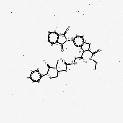 CCOC(=O)C1Cc2ccc(N3C(=O)c4ccccc4C3=O)cc2N1C(=O)CNC(=O)CC(CC)N(C)C(=O)Cc1ccccc1